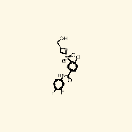 O=C(Nc1ccc(F)c(F)c1)c1ccc(Cl)c(S(=O)(=O)[C@H]2C[C@H](CO)C2)c1